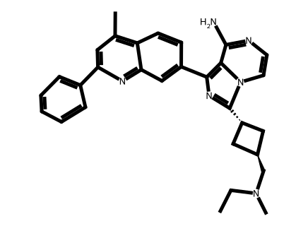 CCN(C)C[C@H]1C[C@H](c2nc(-c3ccc4c(C)cc(-c5ccccc5)nc4c3)c3c(N)nccn32)C1